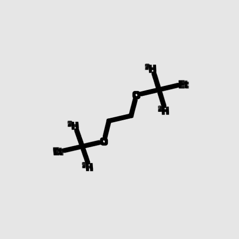 [2H]C([2H])(CC)OCCOC([2H])([2H])CC